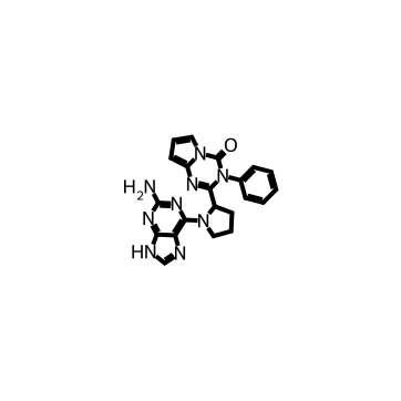 Nc1nc(N2CCCC2c2nc3cccn3c(=O)n2-c2ccccc2)c2nc[nH]c2n1